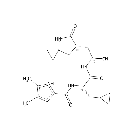 Cc1cc(C(=O)N[C@@H](CC2CC2)C(=O)N[C@H](C#N)C[C@@H]2CC3(CC3)NC2=O)[nH]c1C